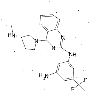 CN[C@H]1CCN(c2nc(Nc3cc(N)cc(C(F)(F)F)c3)nc3ccccc23)C1